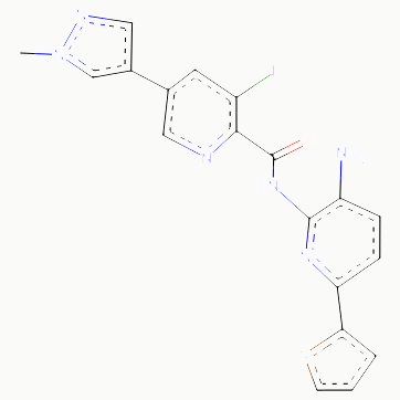 Cn1cc(-c2cnc(C(=O)Nc3nc(-c4cccs4)ccc3N)c(F)c2)cn1